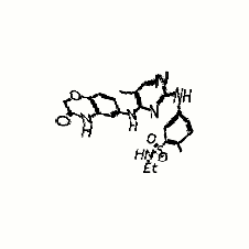 CCNS(=O)(=O)c1cc(Nc2ncc(C)c(Nc3ccc4c(c3)NC(=O)CO4)n2)ccc1C